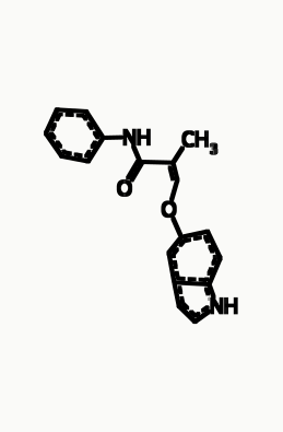 CC(=COc1ccc2[nH]ccc2c1)C(=O)Nc1ccccc1